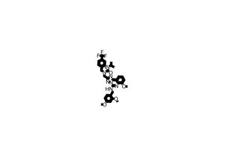 COc1ccc(CNc2nc3c(OC)cccc3c3nc(CN(Cc4ccc(C(F)(F)F)cc4)C(=O)NC(C)C)nn23)c(OC)c1